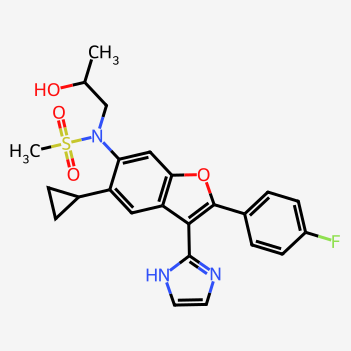 CC(O)CN(c1cc2oc(-c3ccc(F)cc3)c(-c3ncc[nH]3)c2cc1C1CC1)S(C)(=O)=O